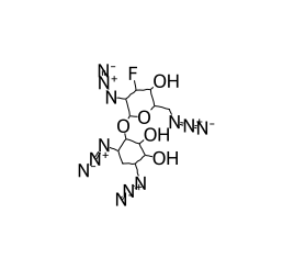 [N-]=[N+]=NCC1OC(OC2C(N=[N+]=[N-])CC(N=[N+]=[N-])C(O)C2O)C(N=[N+]=[N-])C(F)C1O